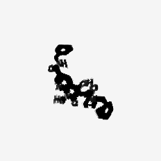 O=C(NCc1ccccc1)c1cnc2c(c1)c(O)c(C(=O)NCc1ccccc1)c(=O)n2O